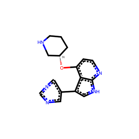 c1ncc(-c2c[nH]c3nccc(O[C@H]4CCCNC4)c23)cn1